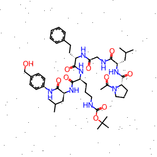 CC(=O)N1CCC[C@H]1C(=O)N[C@@H](CC(C)C)C(=O)NCC(=O)N[C@@H](CCc1ccccc1)C(=O)N[C@@H](CCCNC(=O)OC(C)(C)C)C(=O)N[C@@H](CC(C)C)C(=O)Nc1ccc(CO)cc1